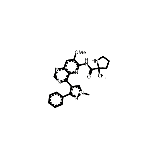 COc1cc2ncnc(-c3cn(C)nc3-c3ccccc3)c2nc1NC(=O)C1(C(F)(F)F)CCCN1